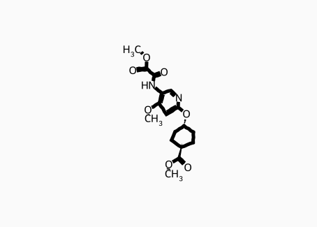 COC(=O)C(=O)Nc1cnc(O[C@H]2CC[C@H](C(=O)OC)CC2)cc1OC